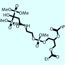 CCCC(=O)OC(COC(=O)CC)COP(=O)(OC)OCCNC(=O)CC(O)(P(=O)(OC)OC)P(=O)(OC)OC